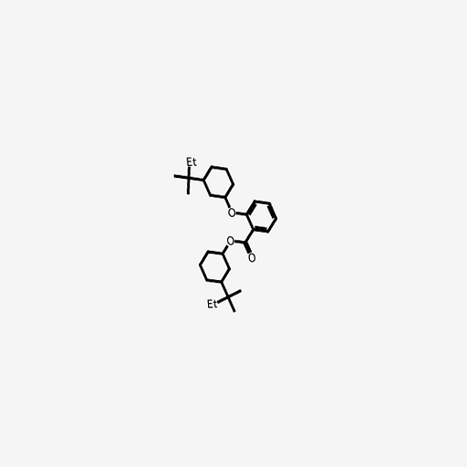 CCC(C)(C)C1CCCC(OC(=O)c2ccccc2OC2CCCC(C(C)(C)CC)C2)C1